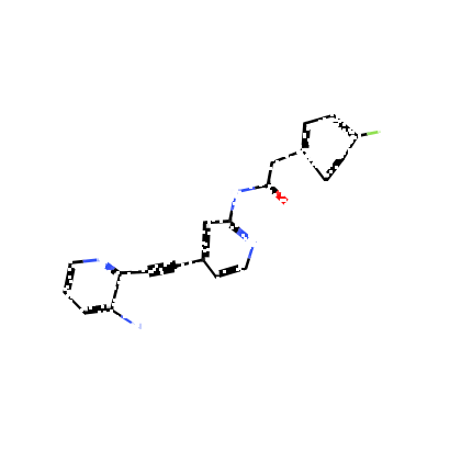 Nc1cccnc1C#Cc1ccnc(NC(=O)Cc2ccc(F)cc2)c1